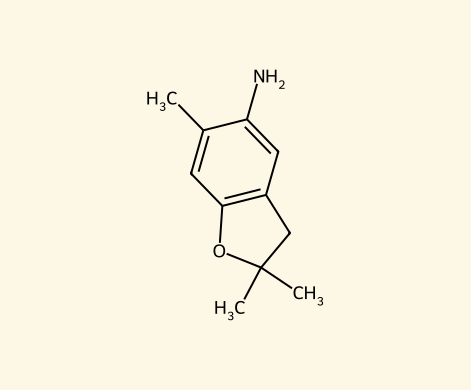 Cc1cc2c(cc1N)CC(C)(C)O2